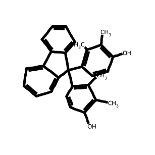 Cc1c(O)ccc(C2(c3ccc(O)c(C)c3C)c3ccccc3-c3ccccc32)c1C